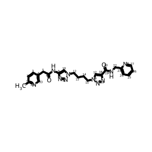 Cc1ccc(CC(=O)Nc2cn(CCCCn3cc(C(=O)NCc4ccccn4)nn3)nn2)cn1